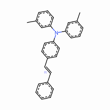 Cc1cccc(N(c2ccc(/C=C/c3ccccc3)cc2)c2cccc(C)c2)c1